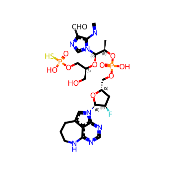 C=Nc1c(C=O)ncn1[C@H](O[C@@H](CO)COP(=O)(O)S)[C@@H](C)OP(=O)(O)OC[C@@H]1C[C@@H](F)[C@H](n2cc3c4c(ncnc42)NCCC3)O1